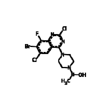 CB(O)N1CCN(c2nc(Cl)nc3c(F)c(Br)c(Cl)cc23)CC1